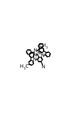 Cc1ccc2c(c1)c1ccccc1n2-c1cc(C#N)cc(-n2c3ccccc3c3cc(C)ccc32)c1-c1nc(-c2ccccc2)nc(-c2ccccc2)n1